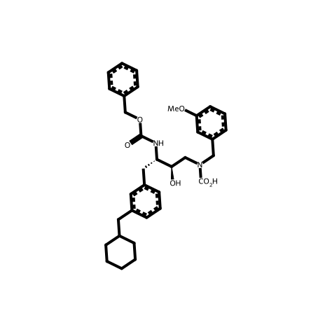 COc1cccc(CN(C[C@@H](O)[C@H](Cc2cccc(CC3CCCCC3)c2)NC(=O)OCc2ccccc2)C(=O)O)c1